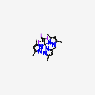 Cc1cc(C)n([C](n2nc(C)cc2C)(n2nc(C)cc2C)[Ti]([I])([I])[I])n1